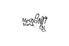 COC(=O)N(OC)c1ccccc1CNc1ccc(Cl)nc1